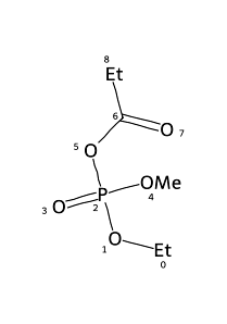 CCOP(=O)(OC)OC(=O)CC